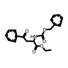 CCOC(=O)C(CC(=O)c1ccccc1)NC(=O)OCc1ccccc1